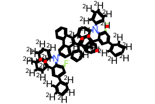 [2H]c1c([2H])c([2H])c(-c2cc(F)c(N(c3ccc4c(c3)C(c3ccccc3)(c3ccccc3)c3c-4c4ccccc4c4cc(N(c5c(F)cc(-c6c([2H])c([2H])c([2H])c([2H])c6[2H])cc5-c5c([2H])c([2H])c([2H])c([2H])c5[2H])c5c([2H])c([2H])c([2H])c([2H])c5[2H])ccc34)c3c([2H])c([2H])c([2H])c([2H])c3[2H])c(-c3c([2H])c([2H])c([2H])c([2H])c3[2H])c2)c([2H])c1[2H]